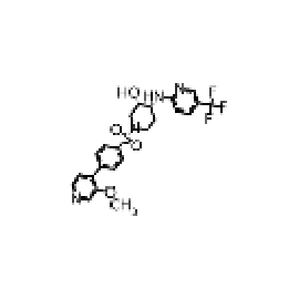 COc1cnccc1-c1ccc(S(=O)(=O)N2CC[C@@H](Nc3ccc(C(F)(F)F)cn3)[C@@H](O)C2)cc1